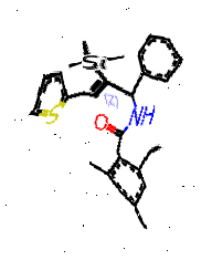 Cc1cc(C)c(C(=O)NC(/C(=C/c2cccs2)[Si](C)(C)C)c2ccccc2)c(C)c1